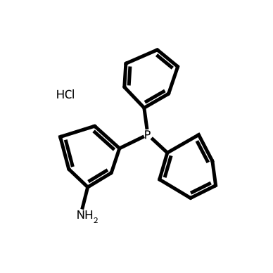 Cl.Nc1cccc(P(c2ccccc2)c2ccccc2)c1